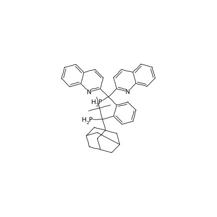 CC(C)(C)C(P)(c1ccccc1C(P)(c1ccc2ccccc2n1)c1ccc2ccccc2n1)C12CC3CC(CC(C3)C1)C2